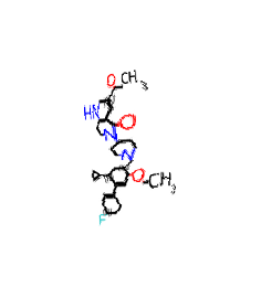 CCOC1C=C(C2=CC[C@H](F)CC2)[C@@H](C2CC2)C[C@H]1CN1CCC(N2CCC3=C(C[C@H](C(=O)CC)CN3)C2=O)CC1